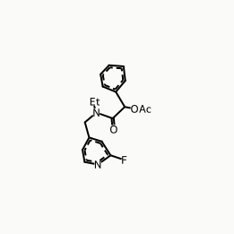 CCN(Cc1ccnc(F)c1)C(=O)C(OC(C)=O)c1ccccc1